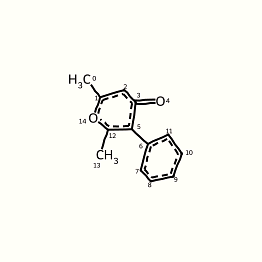 Cc1cc(=O)c(-c2ccccc2)c(C)o1